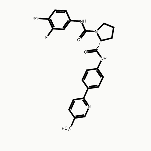 CC(C)c1ccc(NC(=O)N2CCC[C@@H]2C(=O)Nc2ccc(-c3ccc(C(=O)O)cn3)cc2)cc1F